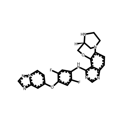 Fc1cc(Oc2ccn3ncnc3c2)c(F)cc1Nc1ncnc2ccc3c(c12)OC[C@H]1CN3CCN1